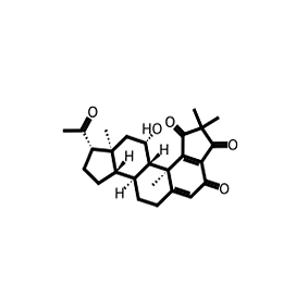 CC(=O)[C@H]1CC[C@H]2[C@@H]3CCC4=CC(=O)C5=C(C(=O)C(C)(C)C5=O)[C@]4(C)[C@H]3[C@@H](O)C[C@]12C